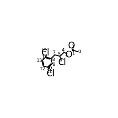 CC(=O)OCC(Cl)Cc1cc(Cl)ccc1Cl